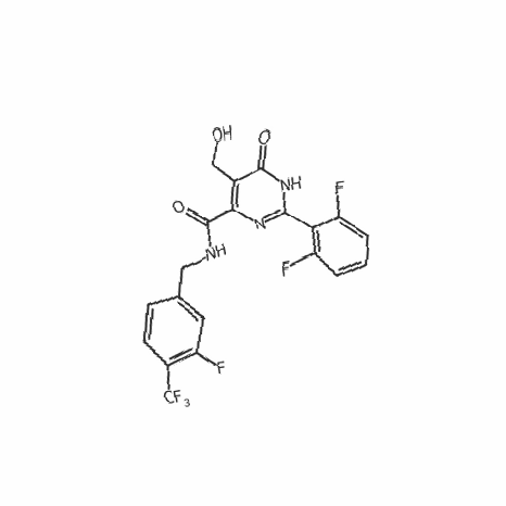 O=C(NCc1ccc(C(F)(F)F)c(F)c1)c1nc(-c2c(F)cccc2F)[nH]c(=O)c1CO